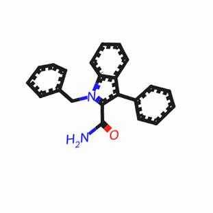 NC(=O)c1c(-c2ccccc2)c2ccccc2n1Cc1ccccc1